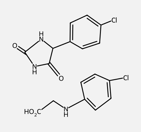 O=C(O)CNc1ccc(Cl)cc1.O=C1NC(=O)C(c2ccc(Cl)cc2)N1